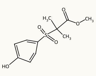 COC(=O)C(C)(C)S(=O)(=O)c1ccc(O)cc1